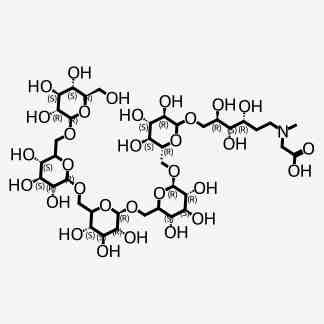 CN(CC[C@@H](O)[C@H](O)[C@H](O)COC1O[C@H](CO[C@@H]2OC(CO[C@@H]3OC(CO[C@@H]4OC(CO[C@@H]5O[C@H](CO)[C@@H](O)[C@H](O)[C@H]5O)[C@@H](O)[C@H](O)[C@H]4O)[C@@H](O)[C@H](O)[C@H]3O)[C@@H](O)[C@H](O)[C@H]2O)[C@@H](O)[C@H](O)[C@H]1O)CC(=O)O